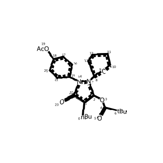 CCCCc1c(OC(=O)C(C)(C)C)n(-c2ccccc2)n(-c2ccc(OC(C)=O)cc2)c1=O